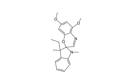 CCC1(C)c2ccccc2N(C)C12C=Nc1c(OC)cc(OC)cc1O2